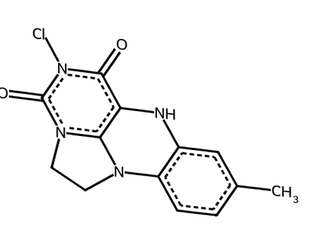 Cc1ccc2c(c1)Nc1c3n(c(=O)n(Cl)c1=O)CCN23